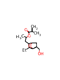 C=C(C)C(=O)OC(C)CC1C2CC(CO)C(O2)C1CC